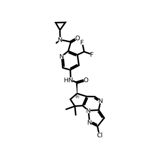 CN(C(=O)c1ncc(NC(=O)[C@@H]2CC(C)(C)c3c2cnc2cc(Cl)nn32)cc1C(F)F)C1CC1